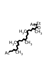 CCN(C(C)=O)C(=O)C(C)=CCCC(C)=CCCC(C)=CCCC(C)=CCCC(C)=CCCC(C)=O